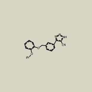 CC(C)Oc1ccccc1OCc1cccc(-c2nn[nH]c2C#N)c1